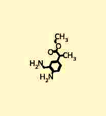 CCOC(=O)C(C)c1ccc(N)c(CN)c1